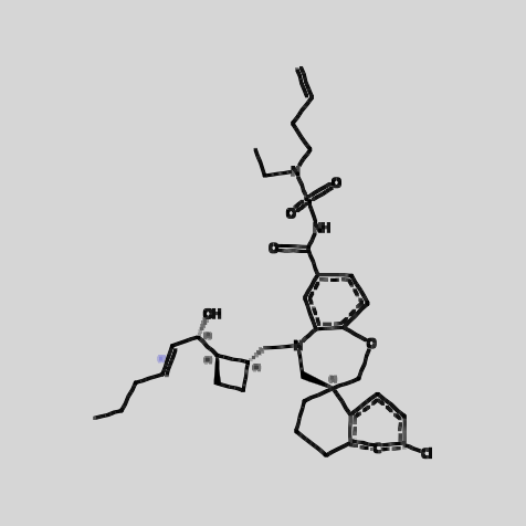 C=CCCN(CC)S(=O)(=O)NC(=O)c1ccc2c(c1)N(C[C@@H]1CC[C@H]1[C@@H](O)/C=C/CCC)C[C@@]1(CCCc3cc(Cl)ccc31)CO2